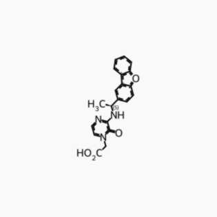 C[C@H](Nc1nccn(CC(=O)O)c1=O)c1ccc2oc3ccccc3c2c1